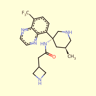 C[C@@H]1CNC[C@](NC(=O)CC2CNC2)(c2ccc(C(F)(F)F)c3nccnc23)C1